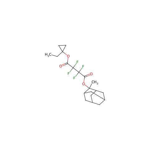 CCC1(OC(=O)C(F)(F)C(F)(F)C(=O)OC2(C)C3CC4CC(C3)CC2C4)CC1